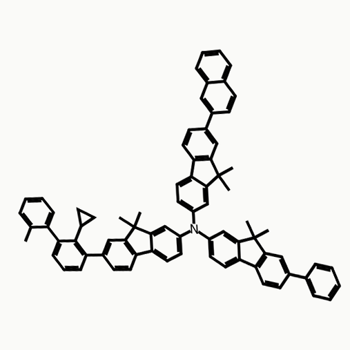 Cc1ccccc1-c1cccc(-c2ccc3c(c2)C(C)(C)c2cc(N(c4ccc5c(c4)C(C)(C)c4cc(-c6ccccc6)ccc4-5)c4ccc5c(c4)C(C)(C)c4cc(-c6ccc7ccccc7c6)ccc4-5)ccc2-3)c1C1CC1